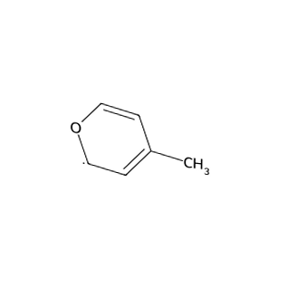 CC1=C[CH]OC=C1